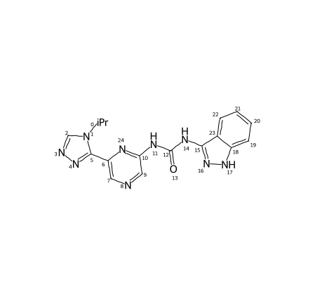 CC(C)n1cnnc1-c1cncc(NC(=O)Nc2n[nH]c3ccccc23)n1